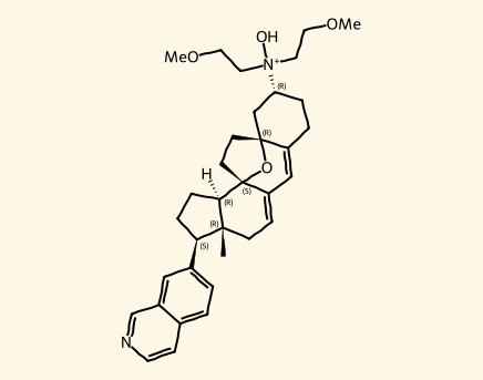 COCC[N+](O)(CCOC)[C@@H]1CCC2=CC3=CC[C@]4(C)[C@@H](c5ccc6ccncc6c5)CC[C@H]4[C@@]34CC[C@]2(C1)O4